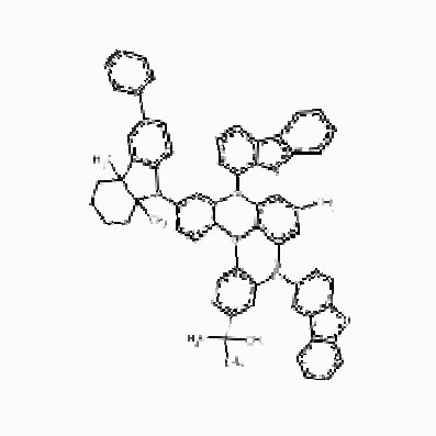 Cc1cc2c3c(c1)N(c1cccc4c1sc1ccccc14)c1cc(N4c5ccc(-c6ccccc6)cc5C5(C)CCCCC45C)ccc1B3c1ccc(C(C)(C)C)cc1N2c1ccc2oc3ccccc3c2c1